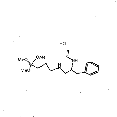 C=CNC(CNCCC[Si](OC)(OC)OC)Cc1ccccc1.Cl